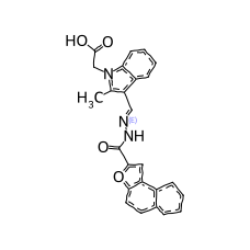 Cc1c(/C=N/NC(=O)c2cc3c(ccc4ccccc43)o2)c2ccccc2n1CC(=O)O